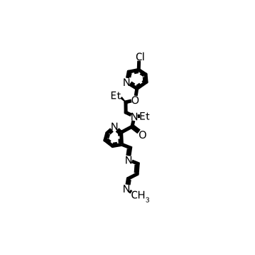 CC[C@H](CN(CC)C(=O)c1ncccc1/C=N/C=C\C=N/C)Oc1ccc(Cl)cn1